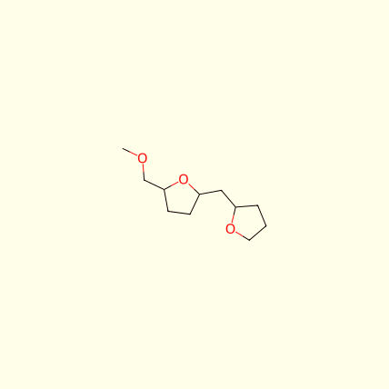 COCC1CCC(CC2CCCO2)O1